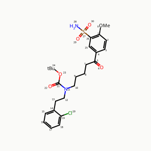 COc1ccc(C(=O)CCCCN(CCc2ccccc2Cl)C(=O)OC(C)(C)C)cc1S(N)(=O)=O